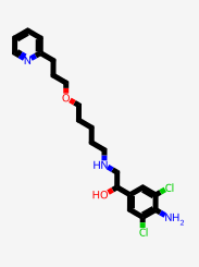 Nc1c(Cl)cc(C(O)CNCCCCCOCCCc2ccccn2)cc1Cl